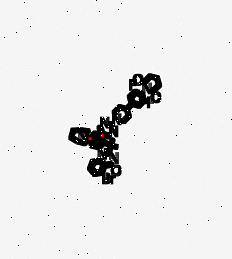 CC1(C)c2ccc(N3C4CCC3CN(Cc3cnc(N5CCC(c6cc(F)c(N7C(=O)CCCC7=O)c(F)c6)CC5)nc3)C4)cc2-n2c1nc(=O)c1c(Br)cccc12